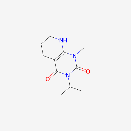 CC(C)n1c(=O)c2c(n(C)c1=O)NCCC2